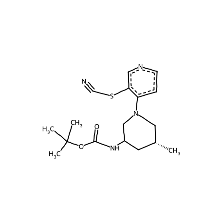 C[C@@H]1CC(NC(=O)OC(C)(C)C)CN(c2ccncc2SC#N)C1